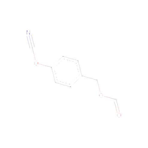 N#COc1ccc(COC=O)cc1